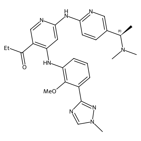 CCC(=O)c1cnc(Nc2ccc([C@@H](C)N(C)C)cn2)cc1Nc1cccc(-c2ncn(C)n2)c1OC